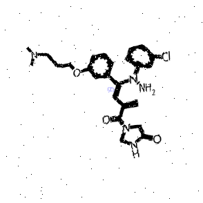 C=C(/C=C(/c1cccc(OCCCN(C)C)c1)N(N)c1cccc(Cl)c1)C(=O)N1CNC(=O)C1